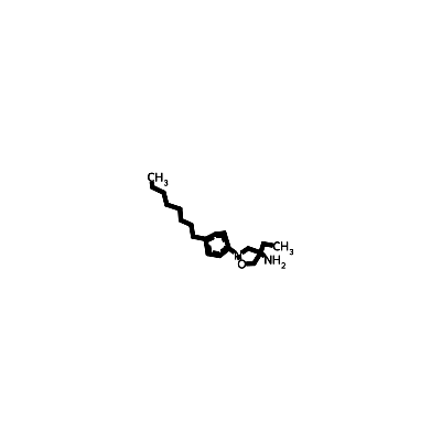 CCCCCCCCc1ccc(N2CC(N)(CC)CO2)cc1